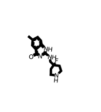 Cc1ccc2[nH]c(NCC3(F)CCNCC3)nc(=O)c2c1